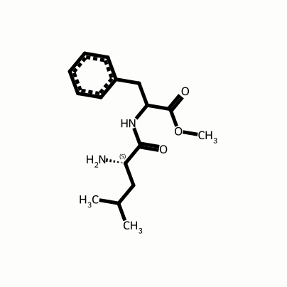 COC(=O)C(Cc1ccccc1)NC(=O)[C@@H](N)CC(C)C